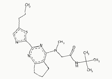 CCCc1cnc(-c2nc3c(c(N(C)CC(=O)NC(C)(C)C)n2)CCC3)s1